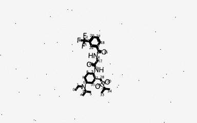 CCN(C(C)C)[C@@H]1CC[C@H](NC(=O)CNC(=O)c2cccc(C(F)(F)F)c2)[C@@H](CS(=O)(=O)C(C)C)C1